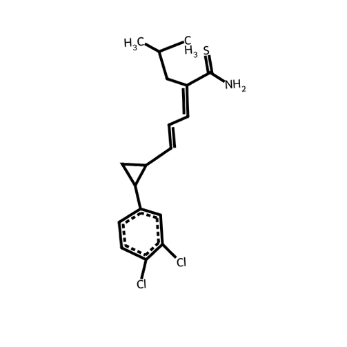 CC(C)C/C(=C\C=C\C1CC1c1ccc(Cl)c(Cl)c1)C(N)=S